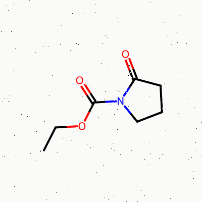 [CH2]COC(=O)N1CCCC1=O